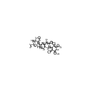 C=CC(=O)N(C)C1COCC1Nc1ncc2c(n1)N(C)C(=O)N(c1c(Cl)c(OC)cc(OC)c1Cl)C2